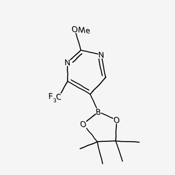 COc1ncc(B2OC(C)(C)C(C)(C)O2)c(C(F)(F)F)n1